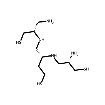 NC[C@@H](CS)NC[C@@H](CCS)NC[C@H](N)CS